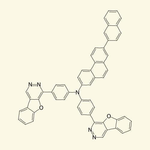 c1ccc2cc(-c3ccc4c(ccc5cc(N(c6ccc(-c7nncc8c7oc7ccccc78)cc6)c6ccc(-c7nncc8c7oc7ccccc78)cc6)ccc54)c3)ccc2c1